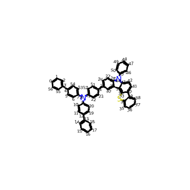 c1ccc(-c2ccc(N(c3ccc(-c4ccccc4)cc3)c3ccc(-c4ccc5c(c4)c4c6sc7ccccc7c6ccc4n5-c4ccccc4)cc3)cc2)cc1